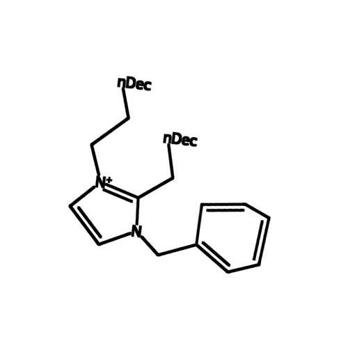 CCCCCCCCCCCC[n+]1ccn(Cc2ccccc2)c1CCCCCCCCCCC